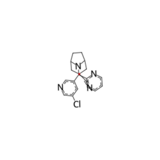 N#CC1(c2cncc(Cl)c2)CC2CCC(C1)N2Cc1ccccn1